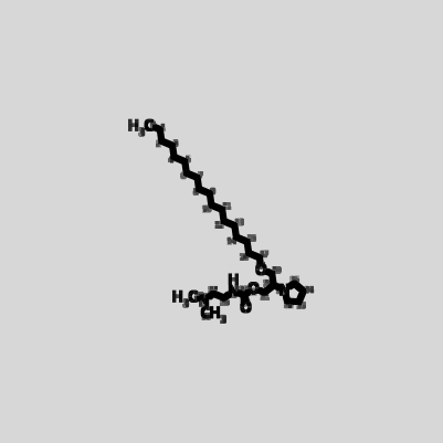 CCCCCCCCCCCCCCCCCCOCC(COC(=O)NCCN(C)C)N1CCCC1